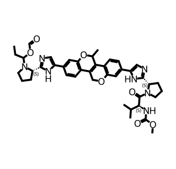 CCC(OC=O)N1CCC[C@H]1c1ncc(-c2ccc3c(c2)OC(C)C2=C3COc3cc(-c4cnc([C@@H]5CCCN5C(=O)[C@@H](NC(=O)OC)C(C)C)[nH]4)ccc32)[nH]1